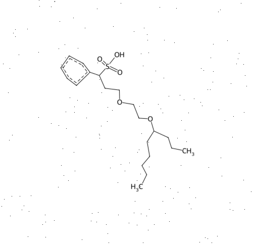 CCCCCC(CCC)OCCOCCC(c1ccccc1)S(=O)(=O)O